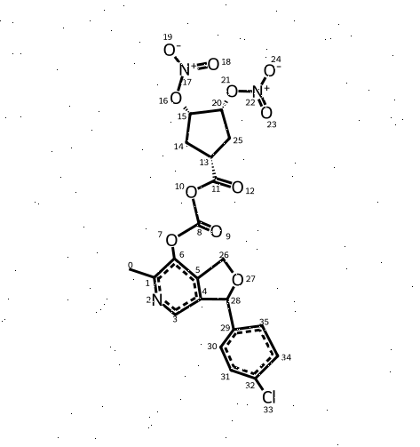 Cc1ncc2c(c1OC(=O)OC(=O)[C@@H]1C[C@H](O[N+](=O)[O-])[C@H](O[N+](=O)[O-])C1)COC2c1ccc(Cl)cc1